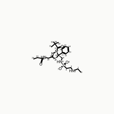 CCNCCS(=O)(=O)NC[C@@]1(c2ccccc2)SC(CNC(=O)CC)=NN1C(=O)C(C)(C)C